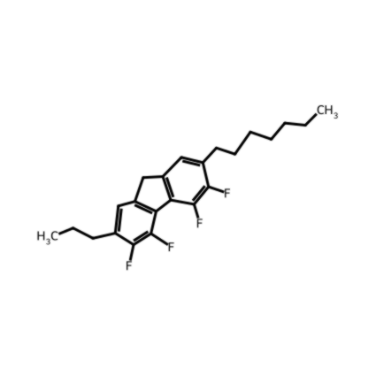 CCCCCCCc1cc2c(c(F)c1F)-c1c(cc(CCC)c(F)c1F)C2